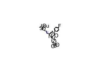 CC(C)(C)[Si](C)(C)OC/C=C/c1cn(-c2ccc(F)cc2)c(=O)c(N2CCN(S(C)(=O)=O)CC2)n1